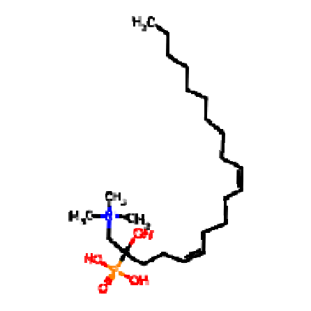 CCCCCCCCC/C=C\CCC/C=C\CCC(O)(C[N+](C)(C)C)P(=O)(O)O